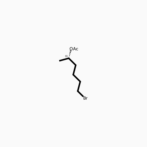 CC(=O)O[C@@H](C)CCCCBr